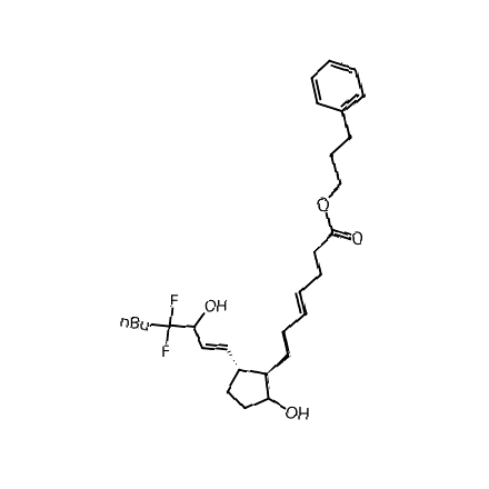 CCCCC(F)(F)C(O)C=C[C@H]1CCC(O)[C@@H]1CC/C=C/CCC(=O)OCCCc1ccccc1